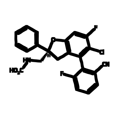 N#Cc1cccc(F)c1-c1c(Cl)c(F)cc2c1C[C@@](CNC(=O)O)(c1ccccc1)O2